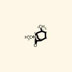 CC1CCC2CC1N(C)C2=O